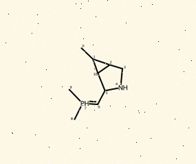 CC1C2CNC(C=[PH](C)C)C12